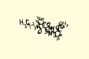 CCCCN1C(=O)/C(=c2\sc3nc(-c4ccccc4OC(C)=O)nn3c2=O)c2ccccc21